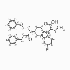 CCC(C(=O)O)n1c2c(c3cc(F)ccc31)CC(N(CCOc1ccccc1)C(=O)CCc1ccccc1)CC2